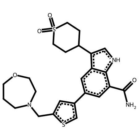 NC(=O)c1cc(-c2csc(CN3CCCOCC3)c2)cc2c(C3CCS(=O)(=O)CC3)c[nH]c12